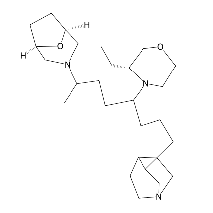 CC[C@@H]1COCCN1C(CCC(C)C1CN2CCC1CC2)CCC(C)N1C[C@H]2CC[C@@H](C1)O2